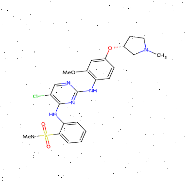 CNS(=O)(=O)c1ccccc1Nc1nc(Nc2ccc(O[C@@H]3CCN(C)C3)cc2OC)ncc1Cl